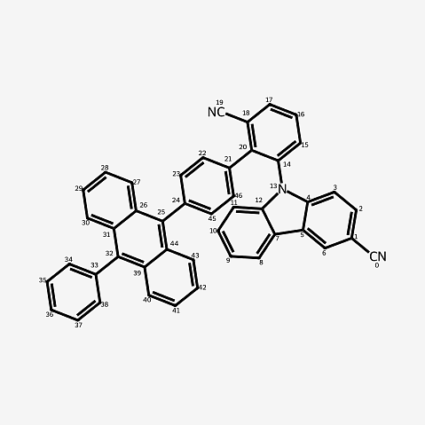 N#Cc1ccc2c(c1)c1ccccc1n2-c1cccc(C#N)c1-c1ccc(-c2c3ccccc3c(-c3ccccc3)c3ccccc23)cc1